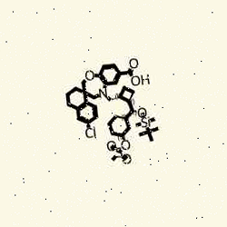 CC(C)(C)[Si](C)(C)O[C@H]([C@@H]1CCC[C@H](OS(C)(=O)=O)C1)[C@@H]1CC[C@H]1CN1CC2(CCCc3cc(Cl)ccc32)COc2ccc(C(=O)O)cc21